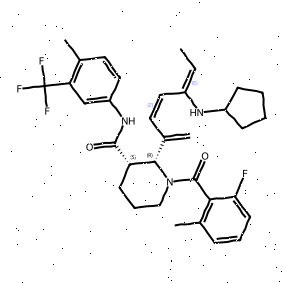 C=C(/C=C\C(=C/C)NC1CCCC1)[C@H]1[C@@H](C(=O)Nc2ccc(C)c(C(F)(F)F)c2)CCCN1C(=O)c1c(C)cccc1F